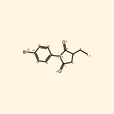 O=C1CC(CI)C(=O)N1c1ccc(Br)cc1